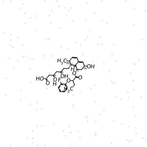 CCC(Oc1ccccc1F)C(=O)O[C@H]1C[C@H](O)C=C2C=C[C@H](C)[C@H](CC[C@@H](O)C[C@@H](O)CC(=O)O)[C@H]21